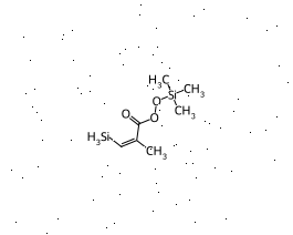 CC(=C[SiH3])C(=O)OO[Si](C)(C)C